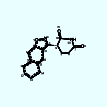 O=C1CC[C@H](c2noc3cc4ccccc4cc23)C(=O)N1